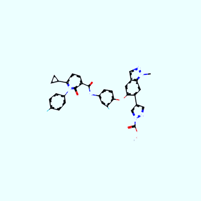 Cn1ncc2cc(Oc3ccc(NC(=O)c4ccc(C5CC5)n(-c5ccc(F)cc5)c4=O)cc3F)c(-c3cnn(C(=O)OC(C)(C)C)c3)cc21